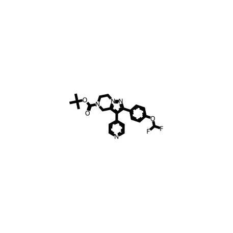 CC(C)(C)OC(=O)N1CCn2nc(-c3ccc(OC(F)F)cc3)c(-c3ccncc3)c2C1